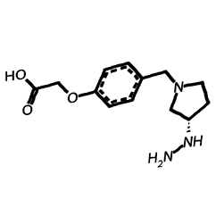 NN[C@H]1CCN(Cc2ccc(OCC(=O)O)cc2)C1